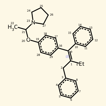 CC/C(Cc1ccccc1)=C(\c1ccccc1)c1ccc(OC(C)N2CCCC2)cc1